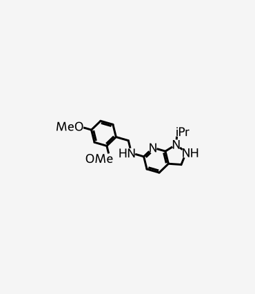 COc1ccc(CNc2ccc3c(n2)N(C(C)C)NC3)c(OC)c1